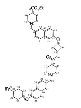 CCOC(=O)C1CCN(Cc2ccc3cc(OC4CC(CC(=O)C5CCN(Cc6ccc7cc(OC8CCC(C(C)C)CC8)ccc7c6)CC5)C4)ccc3c2)CC1